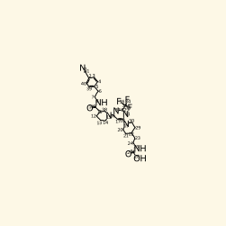 N#Cc1ccc(CCNC(=O)C2CCCN(c3cc(N4CCC(CCNC(=O)O)CC4)nc(C(F)(F)F)n3)C2)cc1